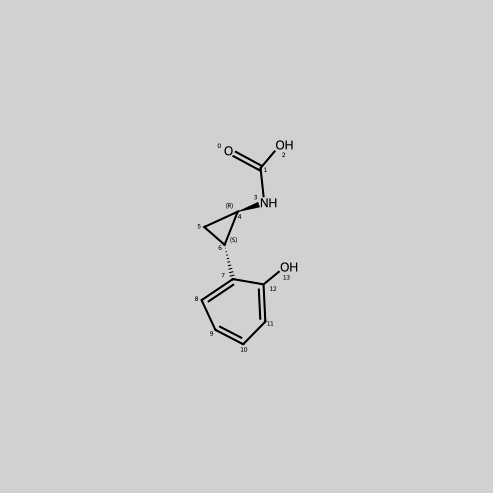 O=C(O)N[C@@H]1C[C@H]1c1ccccc1O